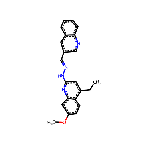 CCc1cc(NN=Cc2cnc3ccccc3c2)nc2cc(OC)ccc12